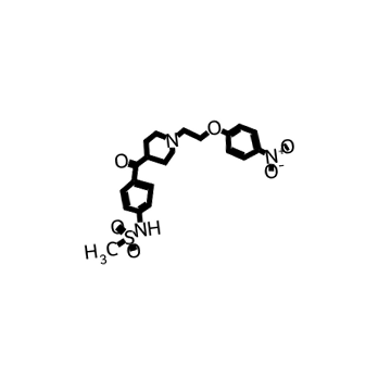 CS(=O)(=O)Nc1ccc(C(=O)C2CCN(CCOc3ccc([N+](=O)[O-])cc3)CC2)cc1